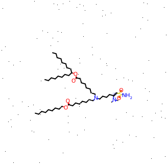 CCCCCCCCCOC(=O)CCCCCCCN(CCCCCCCC(=O)OC(CCCCCCCC)CCCCCCCC)CCCC/C(=C/S(N)(=O)=O)N(C)C